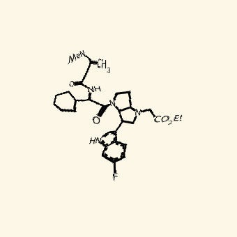 CCOC(=O)CN1CC(c2c[nH]c3cc(F)ccc23)C2C1CCN2C(=O)C(NC(=O)C(C)NC)C1CCCCC1